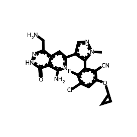 Cn1ncc(-c2cc3c(CN)n[nH]c(=O)c3c(N)n2)c1-c1c(F)c(Cl)cc(OC2CC2)c1C#N